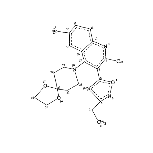 CCc1noc(-c2c(Cl)nc3ccc(Br)cc3c2N2CCC3(CC2)OCCO3)n1